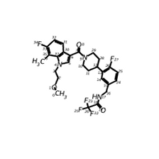 COCCn1cc(C(=O)N2CCC(c3cc(CNC(=O)C(F)(F)F)ccc3F)CC2)c2ccc(F)c(C)c21